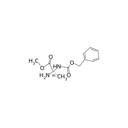 COC(=O)[C@](C)(N)NC(=O)OCc1ccccc1